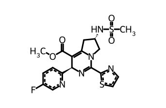 COC(=O)C1=C2C[C@H](NS(C)(=O)=O)CN2C(c2nccs2)=N[C@H]1c1ccc(F)cn1